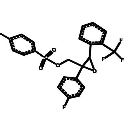 Cc1ccc(S(=O)(=O)OCC2(c3ccc(F)cc3)OC2c2ccccc2C(F)(F)F)cc1